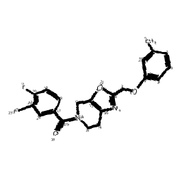 Cc1cccc(OCc2nc3c(o2)CN(C(=O)c2ccc(F)c(F)c2)CC3)c1